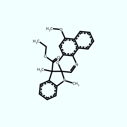 CCOC(=O)C1(C)c2ccccc2N(C)C12C=Nc1c(cc(OC)c3ccccc13)O2